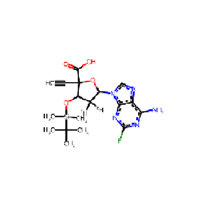 [2H]C1([2H])C(n2cnc3c(N)nc(F)nc32)OC(C#C)(C(=O)O)C1O[Si](C)(C)C(C)(C)C